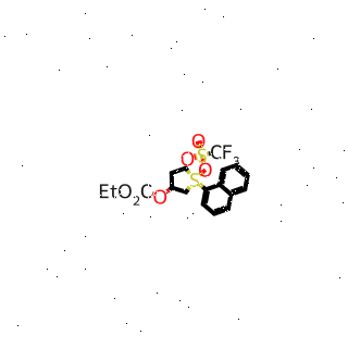 CCOC(=O)OC1CCS(OS(=O)(=O)C(F)(F)F)(c2cccc3ccccc23)C1